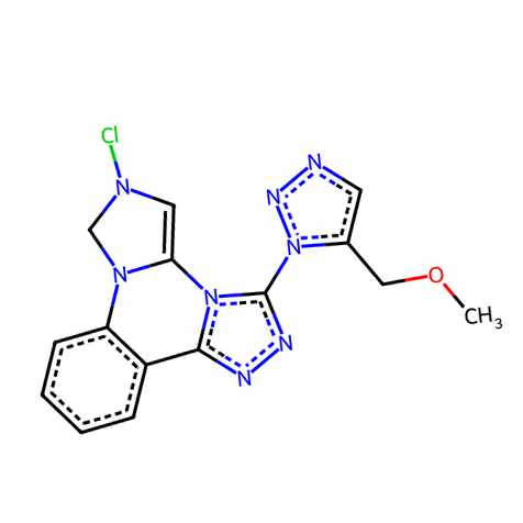 COCc1cnnn1-c1nnc2n1C1=CN(Cl)CN1c1ccccc1-2